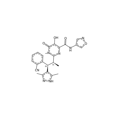 Cc1n[nH]c(C)c1[C@@H](c1ccccc1C#N)[C@H](C)c1nc(C(=O)Nc2cnoc2)c(O)c(=O)n1C